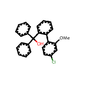 COc1cc(Cl)ccc1-c1ccccc1C(O)(c1ccccc1)c1ccccc1